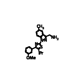 COc1cccc(-c2nc(-n3nc(CN)c4cc(C)ccc43)sc2C(C)C)c1